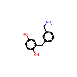 N[CH]c1cccc(Cc2cc(O)ccc2O)c1